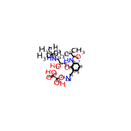 CC(C)C(=O)Nc1cccc(C#N)c1OCC(O)CNC(C)(C)C.O=C(O)C(=O)O